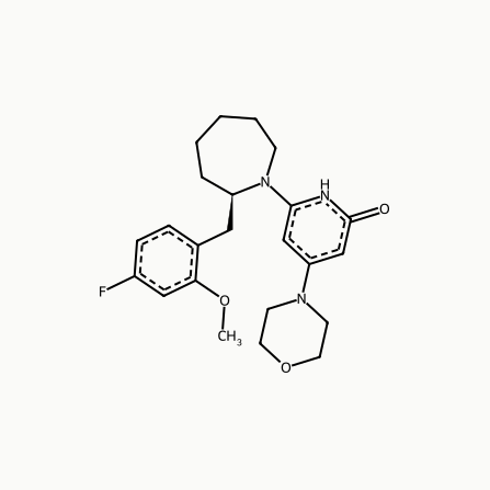 COc1cc(F)ccc1C[C@H]1CCCCCN1c1cc(N2CCOCC2)cc(=O)[nH]1